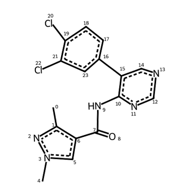 Cc1nn(C)cc1C(=O)Nc1ncncc1-c1ccc(Cl)c(Cl)c1